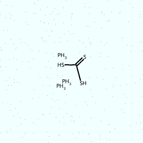 P.P.P.S=C(S)S